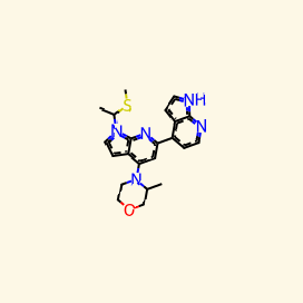 CSC(C)n1ccc2c(N3CCOCC3C)cc(-c3ccnc4[nH]ccc34)nc21